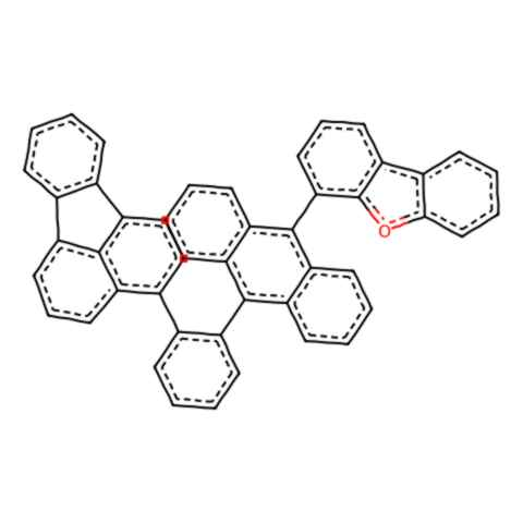 c1ccc(-c2ccc3c4c(cccc24)-c2ccccc2-3)c(-c2c3ccccc3c(-c3cccc4c3oc3ccccc34)c3ccccc23)c1